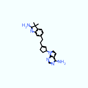 CC1(C)C(N)=Nc2cc(CCC3=CC(n4ccc5c(N)ncnc54)CC3)ccc21